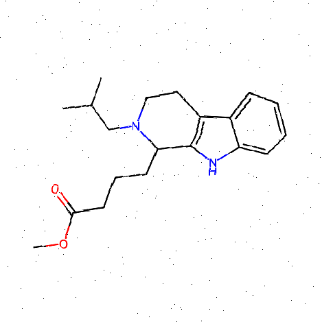 COC(=O)CCCC1c2[nH]c3ccccc3c2CCN1CC(C)C